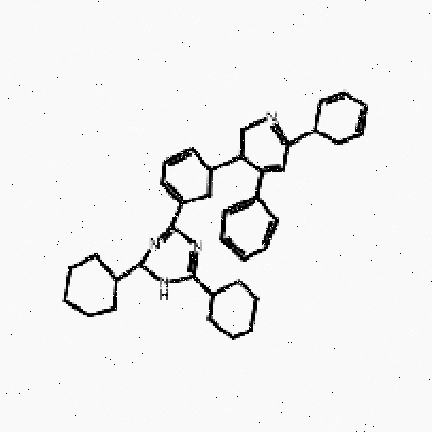 C1=CCC(C2=NCC(C3C=CC=C(C4=NC(C5CCCCC5)NC(C5CCCCC5)=N4)C3)C(c3ccccc3)=C2)C=C1